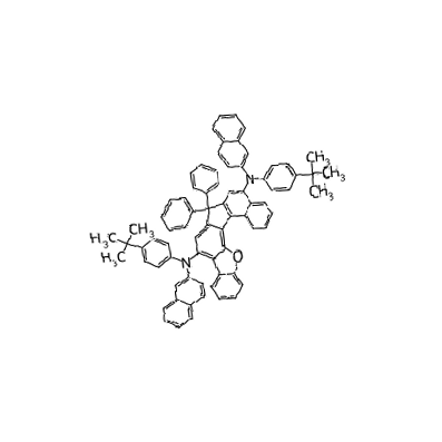 CC(C)(C)c1ccc(N(c2ccc3ccccc3c2)c2cc3c(c4ccccc24)-c2c(cc(N(c4ccc(C(C)(C)C)cc4)c4ccc5ccccc5c4)c4c2oc2ccccc24)C3(c2ccccc2)c2ccccc2)cc1